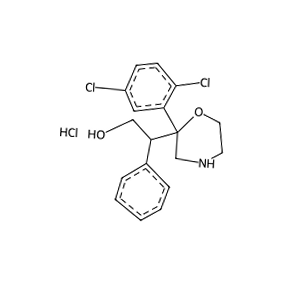 Cl.OCC(c1ccccc1)C1(c2cc(Cl)ccc2Cl)CNCCO1